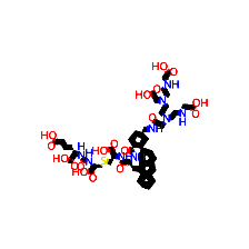 O=C(O)CCC[C@H](NC(=O)N[C@@H](CSC[C@H](NC(=O)[C@H](Cc1c2ccccc2cc2ccccc12)NC(=O)[C@H]1CC[C@H](CNC(=O)CN(CCNCC(=O)O)CCN(CCNCC(=O)O)CC(=O)O)CC1)C(=O)O)C(=O)O)C(=O)O